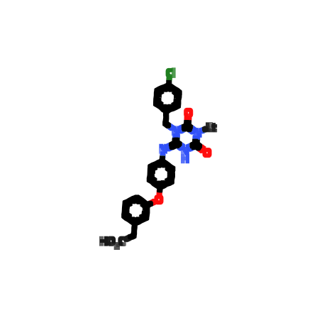 CCn1c(=O)[nH]/c(=N\c2ccc(Oc3cccc(CC(=O)O)c3)cc2)n(Cc2ccc(Cl)cc2)c1=O